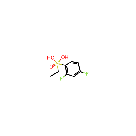 CCS(=O)(O)(O)c1ccc(F)cc1F